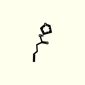 C=CCCC(=O)O.c1ccoc1